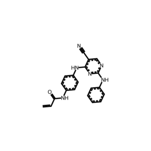 C=CC(=O)Nc1ccc(Nc2nc(Nc3ccccc3)ncc2C#N)cc1